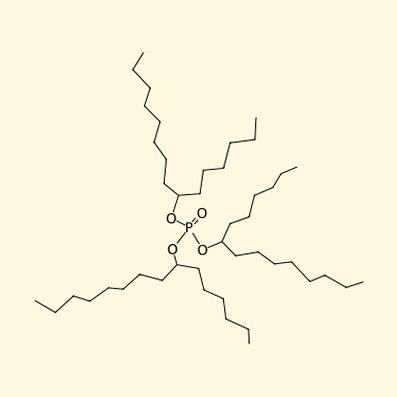 CCCCCCCCC(CCCCCC)OP(=O)(OC(CCCCCC)CCCCCCCC)OC(CCCCCC)CCCCCCCC